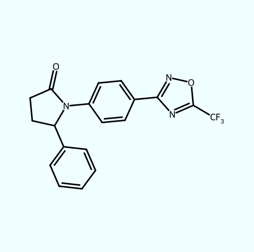 O=C1CCC(c2ccccc2)N1c1ccc(-c2noc(C(F)(F)F)n2)cc1